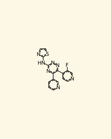 Fc1cnccc1-c1nnc(Nc2nccs2)nc1-c1cccnc1